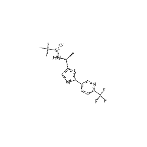 C[C@H](N[S@+]([O-])C(C)(C)C)c1cnc(-c2ccc(C(F)(F)F)nc2)s1